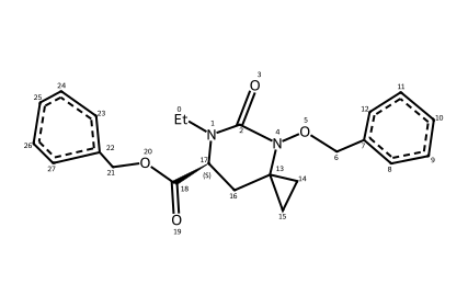 CCN1C(=O)N(OCc2ccccc2)C2(CC2)C[C@H]1C(=O)OCc1ccccc1